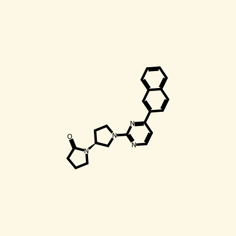 O=C1CCCN1[C@H]1CCN(c2nccc(-c3ccc4ccccc4c3)n2)C1